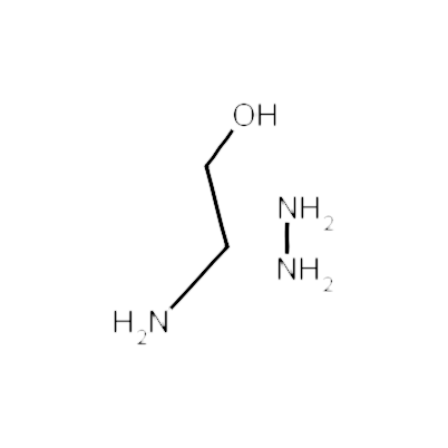 NCCO.NN